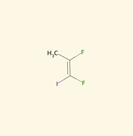 CC(F)=C(F)I